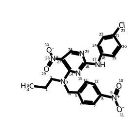 CCCN(Cc1ccc([N+](=O)[O-])cc1)c1nc(Nc2ccc(Cl)cc2)ncc1[N+](=O)[O-]